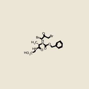 C[C@H](NC(=O)OCc1ccccc1)C(=O)NCC(=O)O.O=C(CBr)CBr